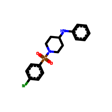 O=S(=O)(c1ccc(Br)cc1)N1CCC(Nc2ccccc2)CC1